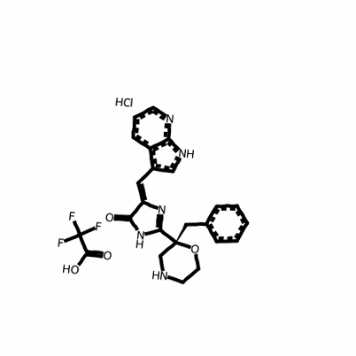 Cl.O=C(O)C(F)(F)F.O=C1NC([C@@]2(Cc3ccccc3)CNCCO2)=NC1=Cc1c[nH]c2ncccc12